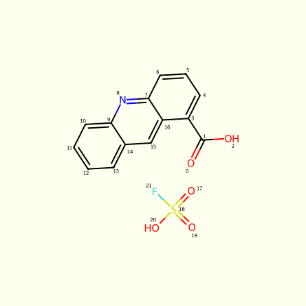 O=C(O)c1cccc2nc3ccccc3cc12.O=S(=O)(O)F